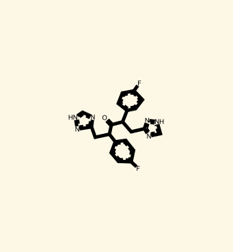 O=C(C(Cc1nc[nH]n1)c1ccc(F)cc1)C(Cc1nc[nH]n1)c1ccc(F)cc1